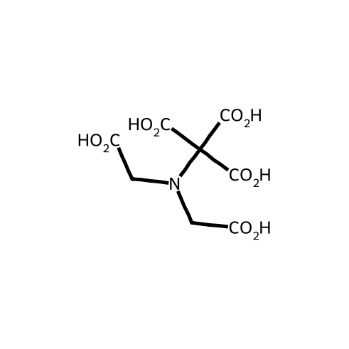 O=C(O)CN(CC(=O)O)C(C(=O)O)(C(=O)O)C(=O)O